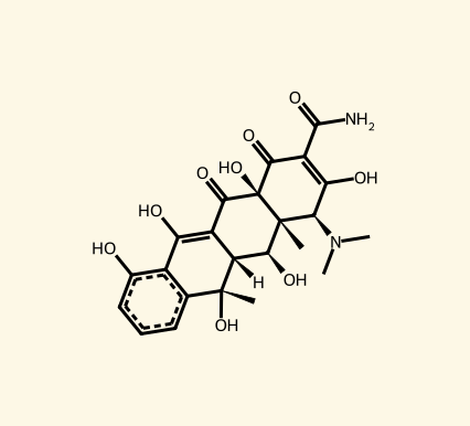 CN(C)[C@@H]1C(O)=C(C(N)=O)C(=O)[C@@]2(O)C(=O)C3=C(O)c4c(O)cccc4[C@@](C)(O)[C@H]3[C@H](O)[C@@]12C